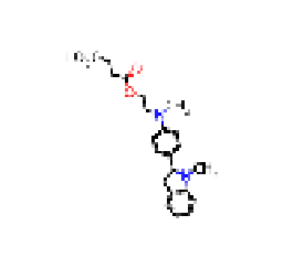 CN(CCOC(=O)CCC(=O)O)c1ccc(C2Cc3ccccc3N2C)cc1